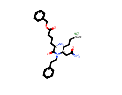 CCCCCCCCCCCCC[C@@H](CC(N)=O)N(CCc1ccccc1)C(=O)[C@@H](N)CCCC(=O)OCc1ccccc1.Cl